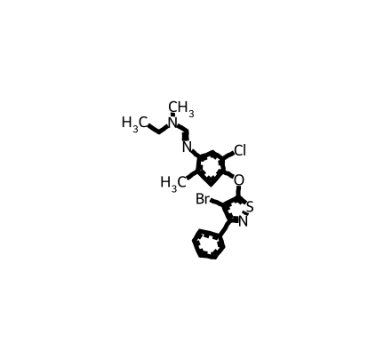 CCN(C)/C=N/c1cc(Cl)c(Oc2snc(-c3ccccc3)c2Br)cc1C